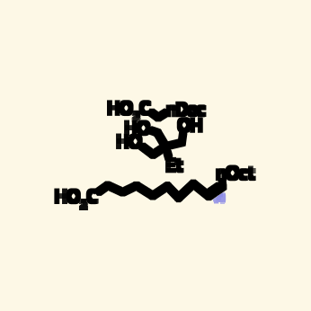 CCC(CO)(CO)CO.CCCCCCCC/C=C\CCCCCCCC(=O)O.CCCCCCCCCCCC(=O)O